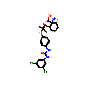 CC(C)(Oc1ccc(NC(=O)Nc2cc(Cl)cc(Cl)c2)cc1)C(=O)C1CCCCC1(N)C(=O)O